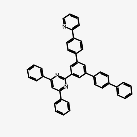 c1ccc(-c2ccc(-c3cc(-c4ccc(-c5ccccn5)cc4)cc(-c4nc(-c5ccccc5)cc(-c5ccccc5)n4)c3)cc2)cc1